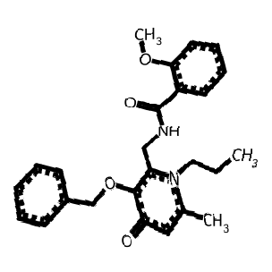 CCCn1c(C)cc(=O)c(OCc2ccccc2)c1CNC(=O)c1ccccc1OC